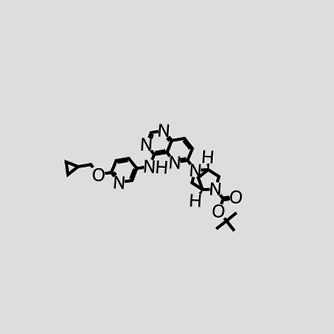 CC(C)(C)OC(=O)N1C[C@@H]2C[C@H]1CN2c1ccc2ncnc(Nc3ccc(OCC4CC4)nc3)c2n1